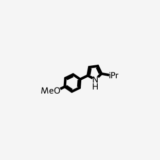 COc1ccc(-c2ccc(C(C)C)[nH]2)cc1